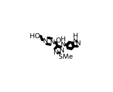 CSc1ncc(C(=O)N2CCN(CCO)CC2)c(Nc2ccc3cn[nH]c3c2)n1